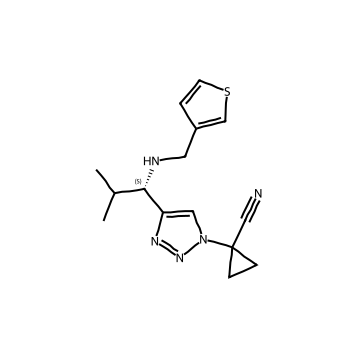 CC(C)[C@H](NCc1ccsc1)c1cn(C2(C#N)CC2)nn1